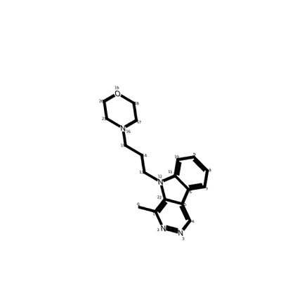 Cc1nncc2c3ccccc3n(CCCN3CCOCC3)c12